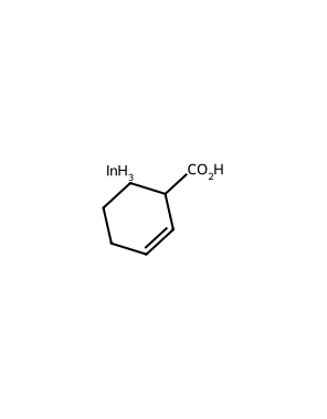 O=C(O)C1C=CCCC1.[InH3]